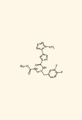 Cn1ncnc1-c1csc(C(=O)N[C@H](CNC(=O)OC(C)(C)C)Cc2ccc(F)c(F)c2)c1